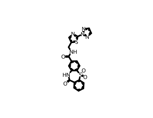 O=C(NCc1cnc(-n2nccn2)s1)c1ccc2c(c1)NC(=O)c1ccccc1S2(=O)=O